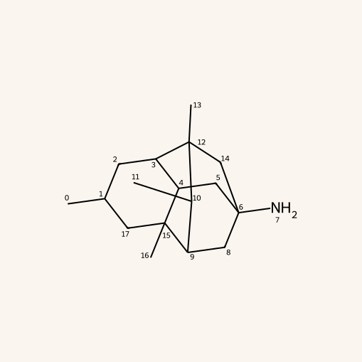 CC1CC2C3CC4(N)CC(C(C)C2(C)C4)C3(C)C1